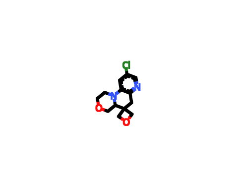 Clc1cnc2c(c1)N1CCOCC1C1(COC1)C2